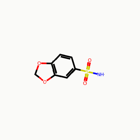 [NH]S(=O)(=O)c1ccc2c(c1)OCO2